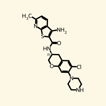 Cc1ccc2c(N)c(C(=O)N[C@@H]3COc4cc(N5CCNCC5)c(Cl)cc4C3)sc2n1